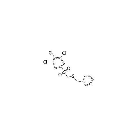 O=S(=O)(CSCc1ccccc1)c1cc(Cl)c(Cl)c(Cl)c1